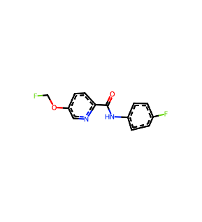 O=C(Nc1ccc(F)cc1)c1ccc(OCF)cn1